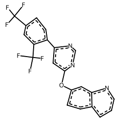 FC(F)(F)c1ccc(-c2cc(Oc3ccc4cccnc4c3)ncn2)c(C(F)(F)F)c1